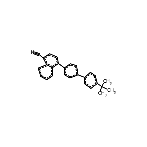 CC(C)(C)c1ccc(-c2ccc(-c3ccc(C#N)c4ccccc34)cc2)cc1